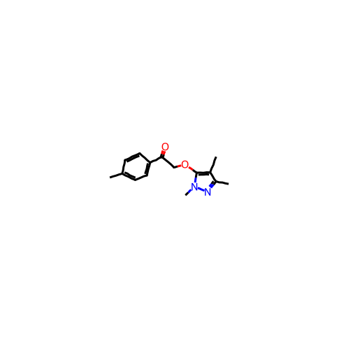 Cc1ccc(C(=O)COc2c(C)c(C)nn2C)cc1